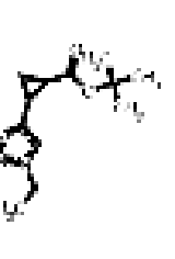 CCn1cc(C2CC2C(=O)OC(C)(C)C)nn1